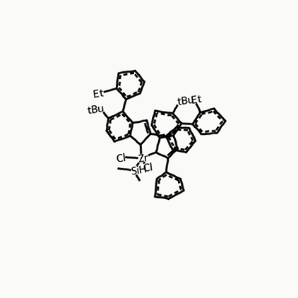 CCc1ccccc1-c1c(C(C)(C)C)ccc2c1C=C(c1ccccc1)[CH]2[Zr]([Cl])([Cl])([CH]1C(c2ccccc2)=Cc2c1ccc(C(C)(C)C)c2-c1ccccc1CC)[SiH](C)C